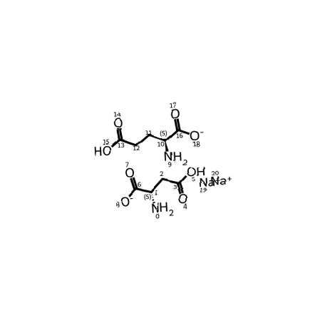 N[C@@H](CC(=O)O)C(=O)[O-].N[C@@H](CCC(=O)O)C(=O)[O-].[Na+].[Na+]